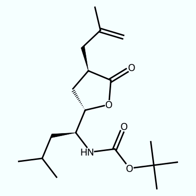 C=C(C)C[C@@H]1C[C@@H]([C@H](CC(C)C)NC(=O)OC(C)(C)C)OC1=O